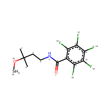 CC(C)(CCNC(=O)c1c(F)c(F)c(F)c(F)c1F)O[SiH3]